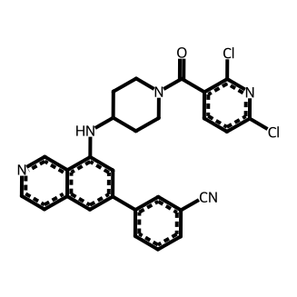 N#Cc1cccc(-c2cc(NC3CCN(C(=O)c4ccc(Cl)nc4Cl)CC3)c3cnccc3c2)c1